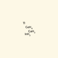 [GaH3].[GeH4].[InH3].[Tl]